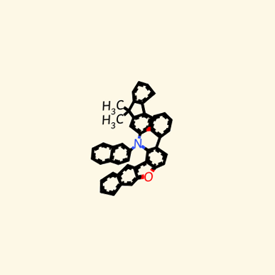 CC1(C)c2ccccc2-c2ccc(N(c3ccc4ccccc4c3)c3c(-c4ccccc4)ccc4oc5cc6ccccc6cc5c34)cc21